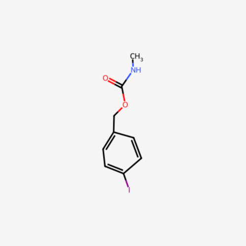 CNC(=O)OCc1ccc(I)cc1